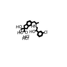 CC(Cc1ccc2c(c1)CC(C(=O)O)(C(=O)O)C2)NCC(O)c1cccc(Cl)c1.Cl.Cl